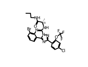 CCCNC(=O)[C@H](C)Nc1nc2c(Br)cccc2c2nc(-c3ccc(Cl)cc3OC(F)(F)F)nn12